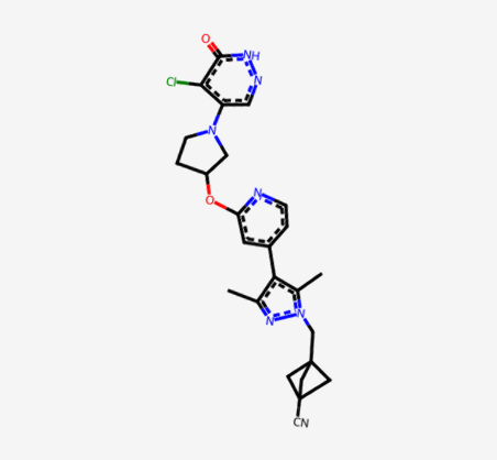 Cc1nn(CC23CC(C#N)(C2)C3)c(C)c1-c1ccnc(OC2CCN(c3cn[nH]c(=O)c3Cl)C2)c1